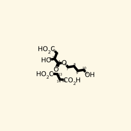 O=C(O)CC(O)C(=O)OCCCCO.O=C(O)CCC(=O)O